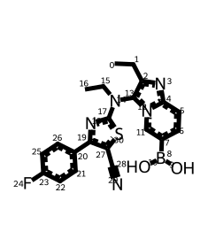 CCc1nc2ccc(B(O)O)cn2c1N(CC)c1nc(-c2ccc(F)cc2)c(C#N)s1